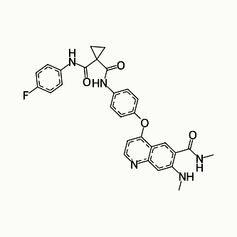 CNC(=O)c1cc2c(Oc3ccc(NC(=O)C4(C(=O)Nc5ccc(F)cc5)CC4)cc3)ccnc2cc1NC